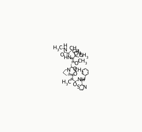 CC[C@H](C)[C@H](N[C@H](C(=O)NC)C(C)C)[C@@H](CC(=O)N1CCC[C@H]1[C@H](OC)[C@@H](C)C(=O)N[C@@H](Cc1ccccc1)c1nccs1)OC